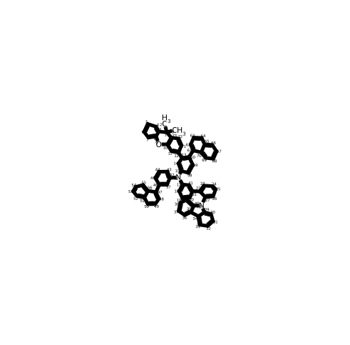 CC1(C)c2ccccc2Oc2cc(-c3cc(N(c4cccc(-c5ccccc5-n5c6ccccc6c6ccccc65)c4)c4cccc(-c5cccc6ccccc56)c4)ccc3-c3cccc4ccccc34)ccc21